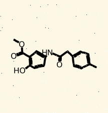 COC(=O)c1cc(NC(=O)Cc2ccc(C)cc2)ccc1O